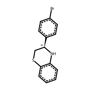 Brc1ccc([C@@H]2CSc3ccccc3N2)cc1